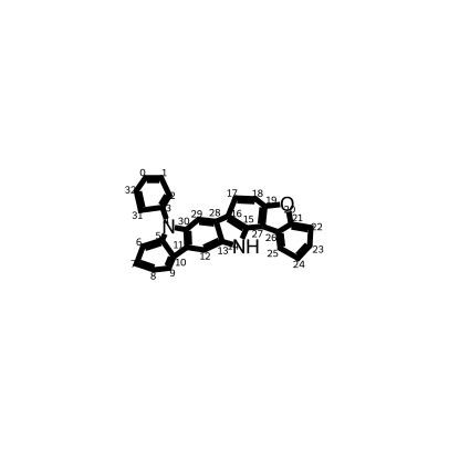 c1ccc(-n2c3ccccc3c3cc4[nH]c5c(ccc6oc7ccccc7c65)c4cc32)cc1